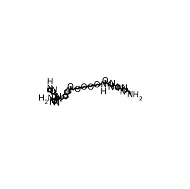 NCc1cnc(N2CCN(c3ncc(C(=O)NCCOCCOCCOCCOCCC(=O)N4CCc5cc(Cn6nc(-c7cnc8[nH]ccc8c7)c7c(N)ncnc76)ccc5C4)cn3)CC2)nc1